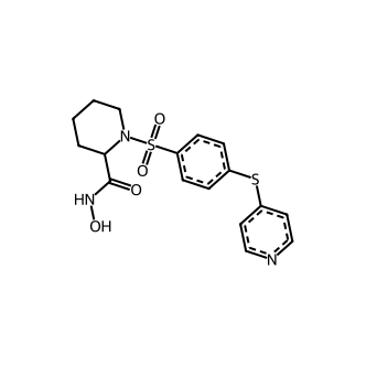 O=C(NO)C1CCCCN1S(=O)(=O)c1ccc(Sc2ccncc2)cc1